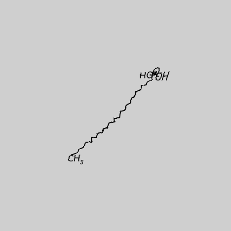 CCCCCCCCCCCCCCCCCCCCCCCCCCCCCP(=O)(O)O